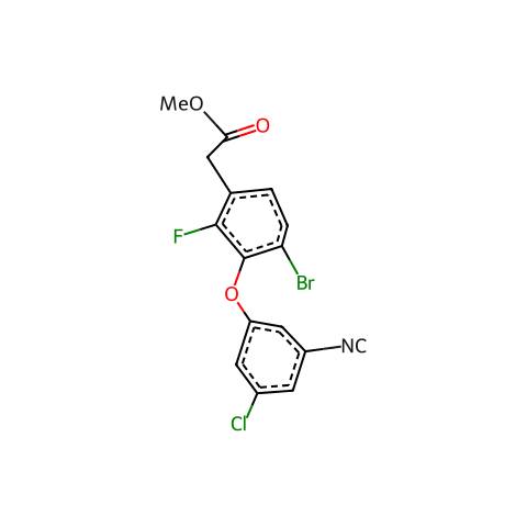 [C-]#[N+]c1cc(Cl)cc(Oc2c(Br)ccc(CC(=O)OC)c2F)c1